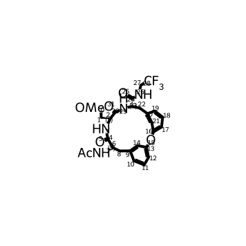 COC[C@@H]1NC(=O)[C@@H](NC(C)=O)Cc2cccc(c2)Oc2cccc(c2)C[C@@H](C(=O)NCC(F)(F)F)NC1=O